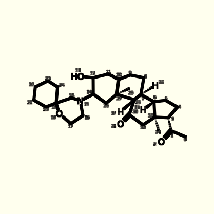 CC(=O)[C@H]1CC[C@H]2[C@@H]3CCC4CC(O)C(N5CCOC6(CCCCC6)C5)C[C@]4(C)[C@H]3C(=O)C[C@]12C